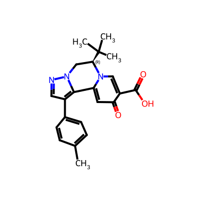 Cc1ccc(-c2cnn3c2-c2cc(=O)c(C(=O)O)cn2[C@H](C(C)(C)C)C3)cc1